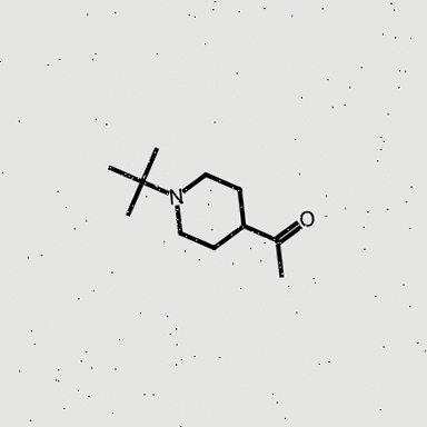 CC(=O)C1CCN(C(C)(C)C)CC1